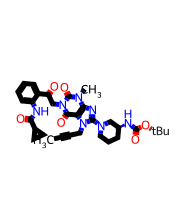 CC#CCn1c(N2CCC[C@H](NC(=O)OC(C)(C)C)C2)nc2c1c(=O)n(CC(=O)c1ccccc1NC(=O)C1CC1)c(=O)n2C